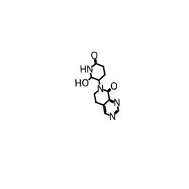 O=C1CCC(N2CCc3cncnc3C2=O)C(O)N1